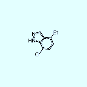 CCc1ccc(Cl)c2[nH]ncc12